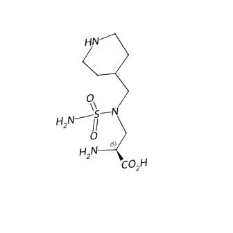 N[C@@H](CN(CC1CCNCC1)S(N)(=O)=O)C(=O)O